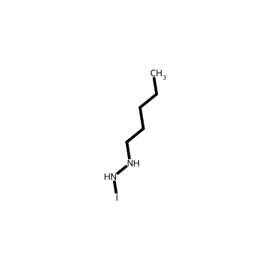 CCCCCNNI